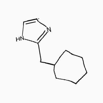 [c]1c[nH]c(CC2CCCCC2)n1